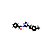 O[C@@H](CNc1cc(-c2cc3ccc(C(F)(F)F)cc3s2)ncn1)c1ccccc1